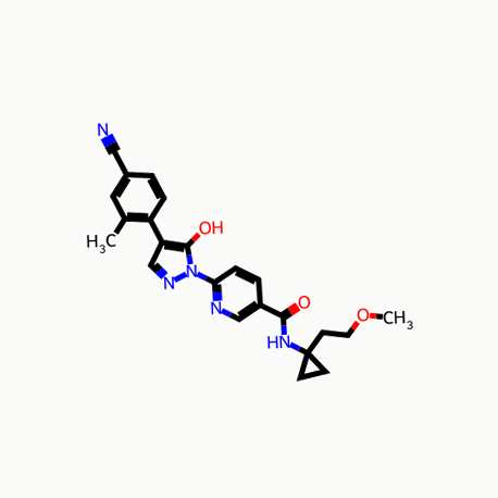 COCCC1(NC(=O)c2ccc(-n3ncc(-c4ccc(C#N)cc4C)c3O)nc2)CC1